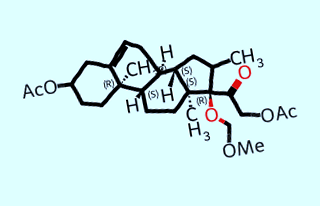 COCO[C@]1(C(=O)COC(C)=O)C(C)C[C@H]2[C@@H]3CC=C4CC(OC(C)=O)CC[C@]4(C)[C@H]3CC[C@@]21C